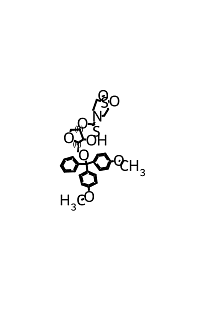 COc1ccc(C(OC[C@H]2OC[C@@H](OC(=S)N3CCS(=O)(=O)CC3)C2O)(c2ccccc2)c2ccc(OC)cc2)cc1